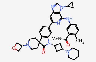 CNC(=O)c1cc(Nc2nc(-c3ccc4c(c3)N([C@H]3C[C@@H](N5CCCCC5)C3)C(=O)C43CCN(C4COC4)CC3)cc3ncn(C4CC4)c23)ccc1C